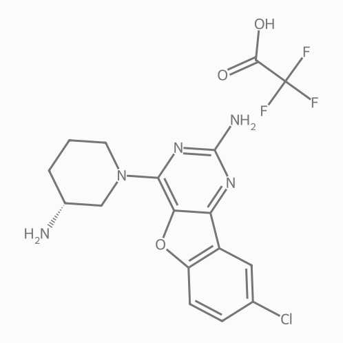 Nc1nc(N2CCC[C@@H](N)C2)c2oc3ccc(Cl)cc3c2n1.O=C(O)C(F)(F)F